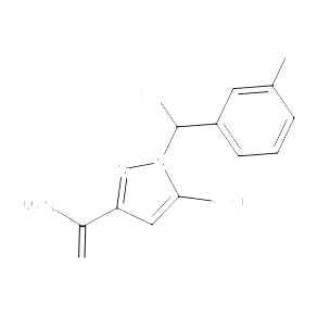 CNC(=O)c1cc(C(=O)O)n(C(C)c2cccc(F)c2)n1